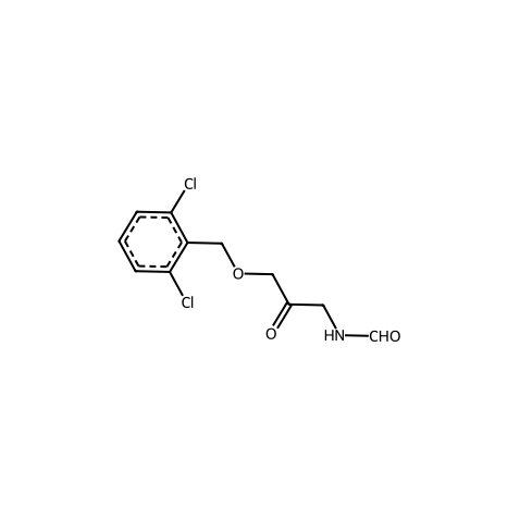 O=CNCC(=O)COCc1c(Cl)cccc1Cl